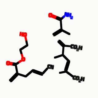 C=C(C(=O)O)C(C)C=C(C)C(=O)O.C=C(C)C(N)=O.C=C(CC=CC#N)C(=O)OCCO